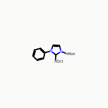 CCCCCCCCCN1C=CN(c2ccccc2)C1CCCCCCCC